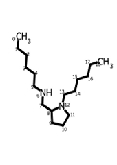 CCCCCCNCC1CCCN1CCCCCC